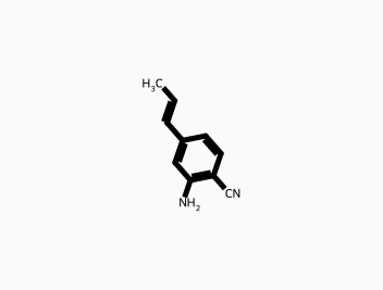 CC=Cc1ccc(C#N)c(N)c1